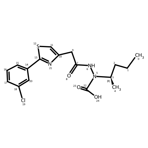 CCC[C@@H](C)N(NC(=O)Cc1csc(-c2cccc(Cl)c2)n1)C(=O)O